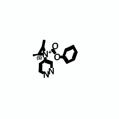 CC1[C@H](C)[N+]1(C(=O)Oc1ccccc1)c1ccnnc1